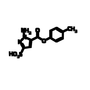 Cc1ccc(OC(=O)c2cc(S(=O)(=O)O)nn2N)cc1